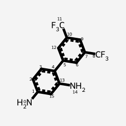 Nc1ccc(-c2cc(C(F)(F)F)cc(C(F)(F)F)c2)c(N)c1